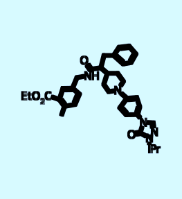 CCOC(=O)c1cc(CNC(=O)C(Cc2ccccc2)C2CCN(c3ccc(-n4cnn(C(C)C)c4=O)cc3)CC2)ccc1C